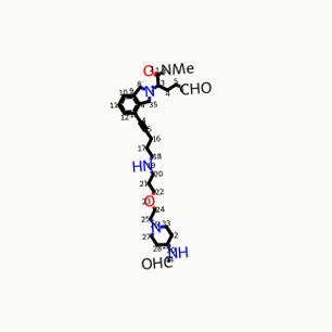 CNC(=O)C(CCC=O)N1Cc2cccc(C#CCCCNCCCOCCN3CCC(NC=O)CC3)c2C1